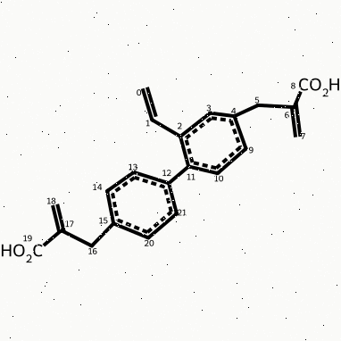 C=Cc1cc(CC(=C)C(=O)O)ccc1-c1ccc(CC(=C)C(=O)O)cc1